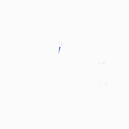 CC(C)OC(=O)C[C@H](N)c1ccccc1